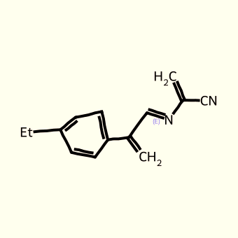 C=C(C#N)/N=C/C(=C)c1ccc(CC)cc1